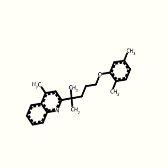 Cc1ccc(C)c(OCCCC(C)(C)c2cc(C)c3ccccc3n2)c1